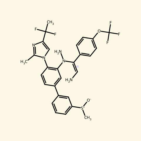 Cc1nc(C(C)(F)F)cn1-c1ccc(-c2cccc([S+](C)[O-])c2)cc1N(N)/C(=C\N)c1ccc(OC(F)(F)F)cc1